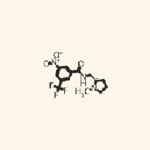 CN1CCC[C@@H]1CNC(=O)c1cc([N+](=O)[O-])cc(C(F)(F)F)c1